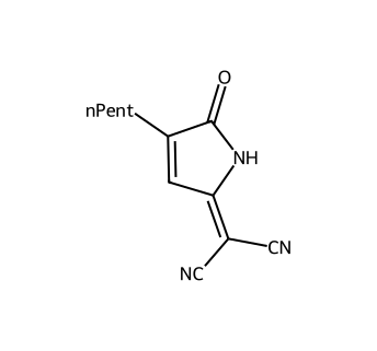 CCCCCC1=CC(=C(C#N)C#N)NC1=O